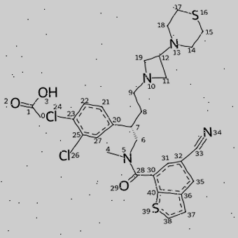 CC(=O)O.CN(C[C@@H](CCN1CC(N2CCSCC2)C1)c1ccc(Cl)c(Cl)c1)C(=O)c1cc(C#N)cc2ccsc12